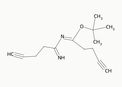 C#CCCC(=N)/N=C(\CCC#C)OC(C)(C)C